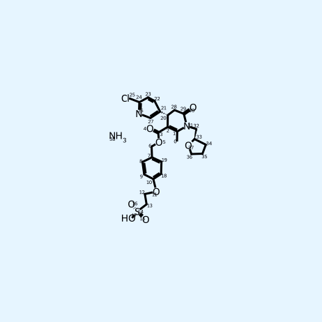 CC1=C(C(=O)OCc2ccc(OCCS(=O)(=O)O)cc2)[C@H](c2ccc(Cl)nc2)CC(=O)N1C[C@H]1CCCO1.N